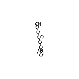 N#Cc1ccc(-c2ccc(-c3ccc(-c4ccc(-c5ccc6nc7c(ccc8cccnc87)cc6c5)cc4)c4ccccc34)cc2)cc1